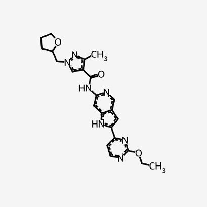 CCOc1nccc(-c2cc3cnc(NC(=O)c4cn(CC5CCCO5)nc4C)cc3[nH]2)n1